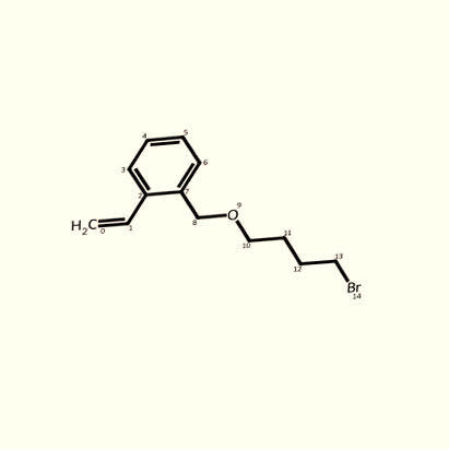 C=Cc1ccccc1COCCCCBr